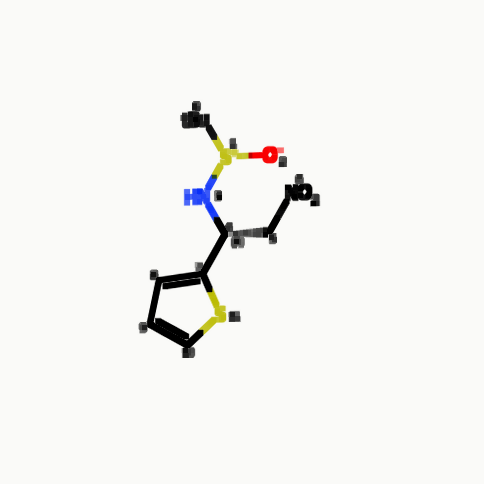 CC(C)(C)[S+]([O-])N[C@H](C[N+](=O)[O-])c1cccs1